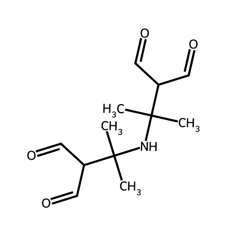 CC(C)(NC(C)(C)C(C=O)C=O)C(C=O)C=O